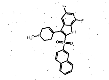 CN1CC=C(c2c(S(=O)(=O)c3ccc4ccccc4c3)[nH]c3c(F)cc(F)cc23)CC1